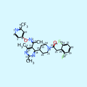 C/C(=N/Oc1ccnc(C(F)(F)F)c1)c1c(C)nc(C)nc1C1CCN(C(=O)Cc2c(F)cccc2F)CC1